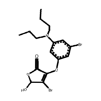 CCCN(CCC)c1cc(Br)cc(OC2=C(Br)C(O)OC2=O)c1